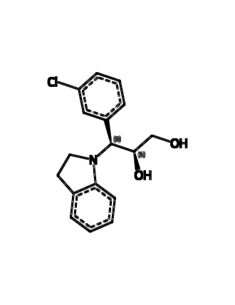 OC[C@@H](O)[C@H](c1cccc(Cl)c1)N1CCc2ccccc21